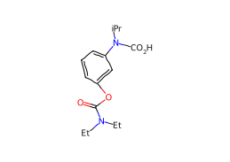 CCN(CC)C(=O)Oc1cccc(N(C(=O)O)C(C)C)c1